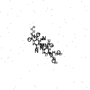 CCCCN1C(=O)c2cc(C#N)c(N=Nc3ccc(N(CCOC)CCOC)cc3NC(C)=O)c(C#N)c2C1=O